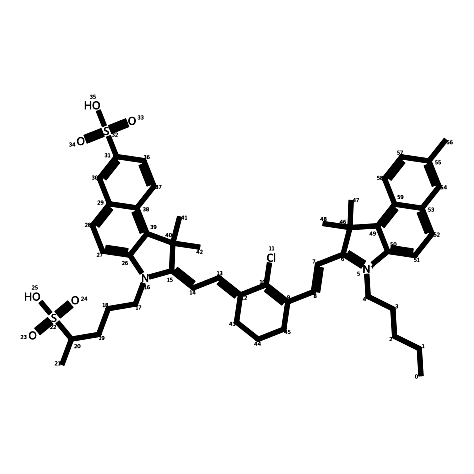 CCCCC[N+]1=C(/C=C/C2=C(Cl)C(=C/C=C3/N(CCCC(C)S(=O)(=O)O)c4ccc5cc(S(=O)(=O)O)ccc5c4C3(C)C)/CCC2)C(C)(C)c2c1ccc1cc(C)ccc21